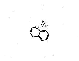 C1=COc2ccccc2C1.[Mn].[Ni]